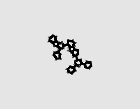 c1ccc(-c2cc(-c3ccc4c(c3)sc3c(-c5nc(-c6ccccc6)c6oc7ccccc7c6n5)cccc34)nc(-c3ccccc3)n2)cc1